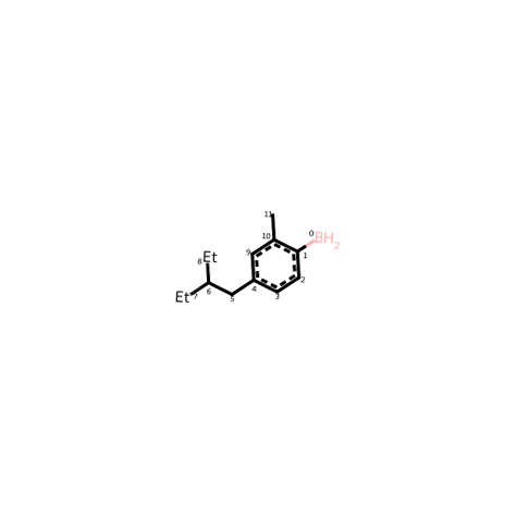 Bc1ccc(CC(CC)CC)cc1C